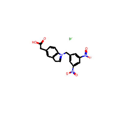 O=C(O)Cc1ccc2c(c1)CC=[N+]2Cc1cc([N+](=O)[O-])cc([N+](=O)[O-])c1.[Br-]